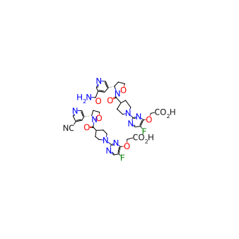 N#Cc1cncc([C@@H]2CCON2C(=O)C2CCN(c3ncc(F)c(OCC(=O)O)n3)CC2)c1.NC(=O)c1cncc([C@@H]2CCON2C(=O)C2CCN(c3ncc(F)c(OCC(=O)O)n3)CC2)c1